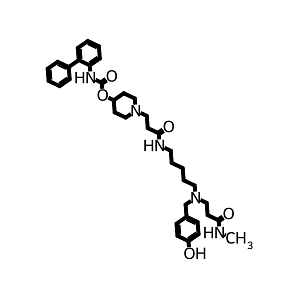 CNC(=O)CCN(CCCCCNC(=O)CCN1CCC(OC(=O)Nc2ccccc2-c2ccccc2)CC1)Cc1ccc(O)cc1